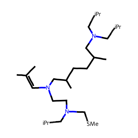 CSCN(CCN(C=C(C)C)CC(C)CCC(C)CN(CC(C)C)CC(C)C)CC(C)C